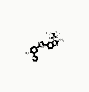 Cc1ccc(-c2ncc(-c3ccc4nc(N)n(S(=O)(=O)C(C)C)c4c3)[nH]2)cc1-c1cccs1